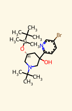 CC(C)(C)N1C[C@H](O[Si](C)(C)C(C)(C)C)CC(O)(c2ccc(Br)cn2)C1